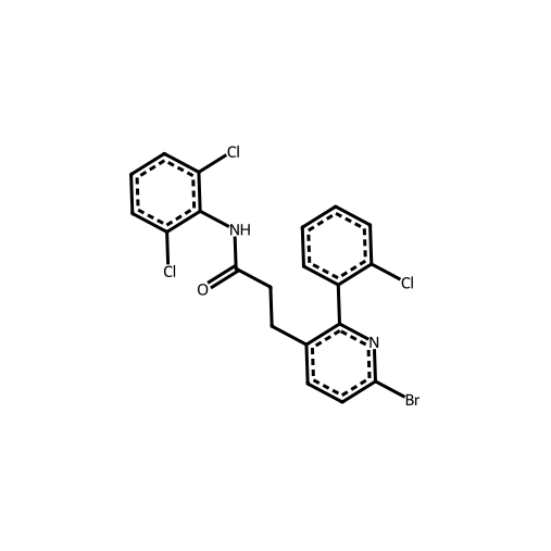 O=C(CCc1ccc(Br)nc1-c1ccccc1Cl)Nc1c(Cl)cccc1Cl